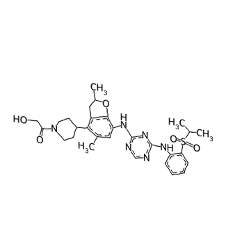 Cc1cc(Nc2ncnc(Nc3ccccc3S(=O)(=O)C(C)C)n2)c2c(c1C1CCN(C(=O)CO)CC1)CC(C)O2